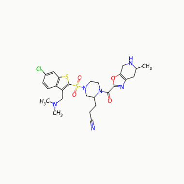 CC1Cc2nc(C(=O)N3CCN(S(=O)(=O)c4sc5cc(Cl)ccc5c4CN(C)C)CC3CCC#N)oc2CN1